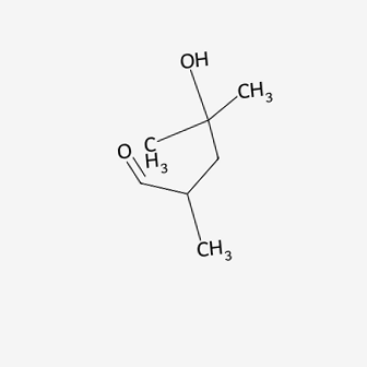 CC(C=O)CC(C)(C)O